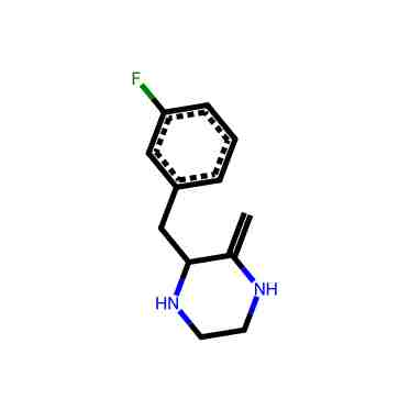 C=C1NCCNC1Cc1cccc(F)c1